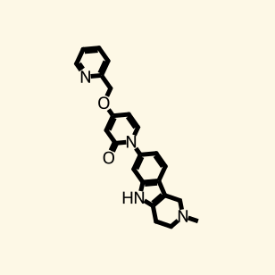 CN1CCc2[nH]c3cc(-n4ccc(OCc5ccccn5)cc4=O)ccc3c2C1